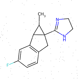 CC1C2c3cc(F)ccc3CC12C1=NCCN1